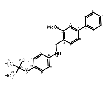 COc1nc(-c2ccccc2)ccc1CNc1ccc(SC(C)(C)C(=O)O)cc1